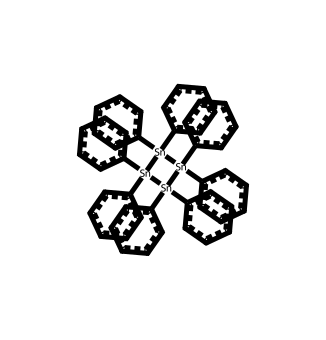 c1cc[c]([Sn]2([c]3ccccc3)[Sn]([c]3ccccc3)([c]3ccccc3)[Sn]([c]3ccccc3)([c]3ccccc3)[Sn]2([c]2ccccc2)[c]2ccccc2)cc1